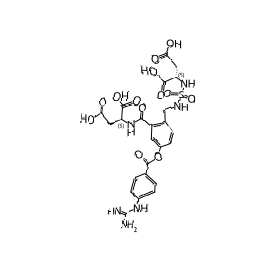 N=C(N)Nc1ccc(C(=O)Oc2ccc(CNS(=O)(=O)N[C@@H](CC(=O)O)C(=O)O)c(C(=O)N[C@@H](CC(=O)O)C(=O)O)c2)cc1